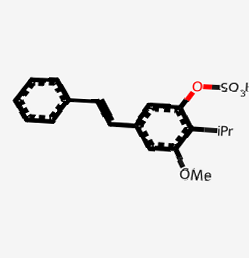 COc1cc(/C=C/c2ccccc2)cc(OS(=O)(=O)O)c1C(C)C